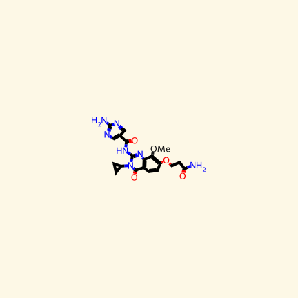 COc1c(OCCC(N)=O)ccc2c(=O)n(C3CC3)c(NC(=O)c3cnc(N)nc3)nc12